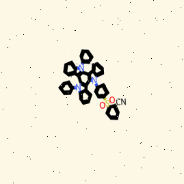 N#Cc1ccccc1S(=O)(=O)c1ccc(-n2c3ccccc3c3c4c(c5ccccc5n4-c4ccccc4)c4c(c5ccccc5n4-c4ccccc4)c32)cc1